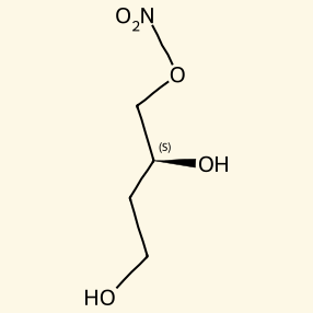 O=[N+]([O-])OC[C@@H](O)CCO